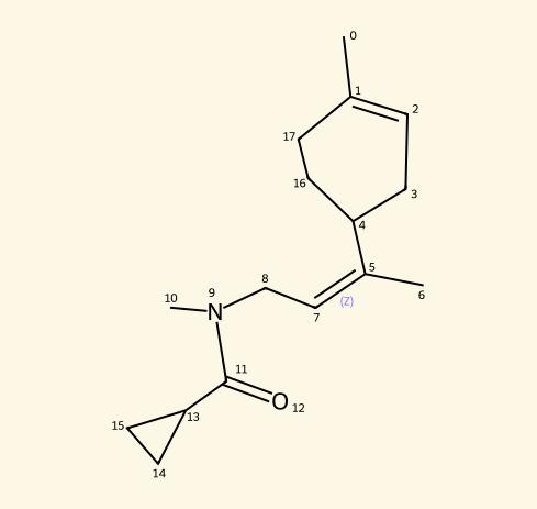 CC1=CCC(/C(C)=C\CN(C)C(=O)C2CC2)CC1